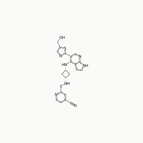 N#Cc1ccnc(SN[C@H]2C[C@@H](Nc3c(-c4ncc(CO)s4)cnc4[nH]ccc34)C2)c1